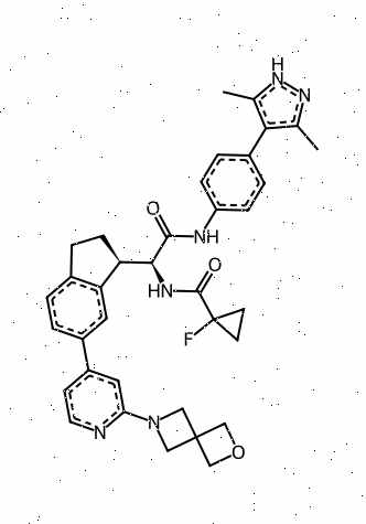 Cc1n[nH]c(C)c1-c1ccc(NC(=O)[C@@H](NC(=O)C2(F)CC2)[C@@H]2CCc3ccc(-c4ccnc(N5CC6(COC6)C5)c4)cc32)cc1